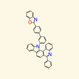 c1ccc(-c2nc3ccccc3c3c2ccc2c4ccccc4n(-c4cccc(-c5ccc(-c6nc7ccccc7o6)cc5)c4)c23)cc1